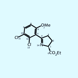 CCOC(=O)[C@@H]1CCC(c2c(OC)ccc(Cl)c2Cl)=N1